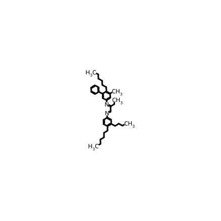 CCCCCCc1ccc(N=CC(CC)=Nc2cc(C)c(CCCCCC)c(-c3ccccc3)c2)cc1CCCC